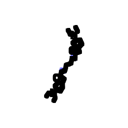 CCN(CC)C1=CC2OC(/C=C/CC/C=C/c3cc4ccc(N(CC)CC)cc4o3)CC2C=C1